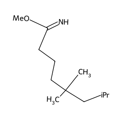 COC(=N)CCCC(C)(C)CC(C)C